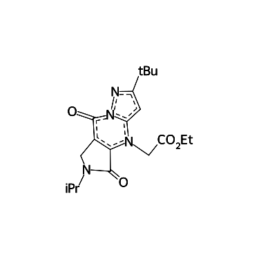 CCOC(=O)Cn1c2c(c(=O)n3nc(C(C)(C)C)cc13)CN(C(C)C)C2=O